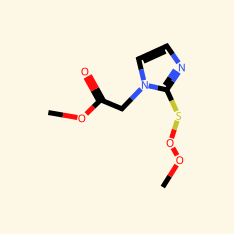 COOSc1nccn1CC(=O)OC